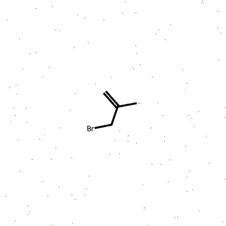 [CH2]C(=C)CBr